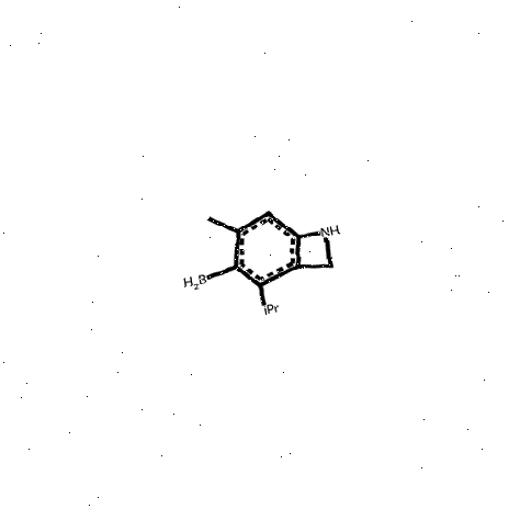 Bc1c(C)cc2c(c1C(C)C)CN2